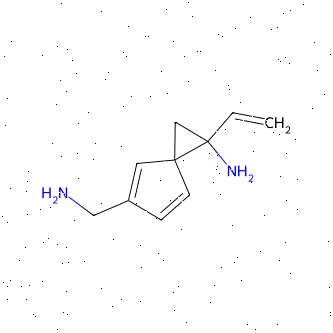 C=CC1(N)CC12C=CC(CN)=C2